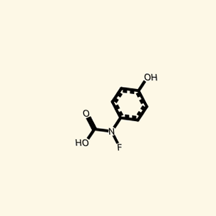 O=C(O)N(F)c1ccc(O)cc1